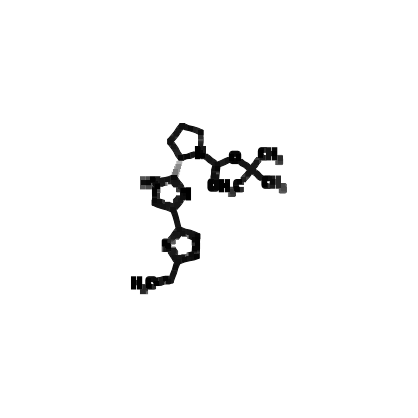 C=Cc1ccc(-c2c[nH]c([C@@H]3CCCN3C(=O)OC(C)(C)C)n2)s1